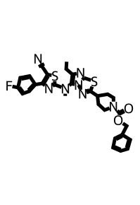 CCc1nc2sc(C3CCN(C(=O)OCc4ccccc4)CC3)nn2c1N(C)c1nc(-c2ccc(F)cc2)c(C#N)s1